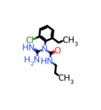 CCCNC(=O)N(C(=N)N)c1c(Cl)cccc1CC